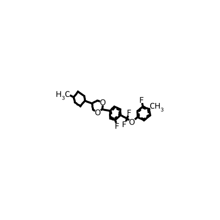 Cc1ccc(OC(F)(F)c2ccc(C3OCC(C4CCC(C)CC4)CO3)cc2F)cc1F